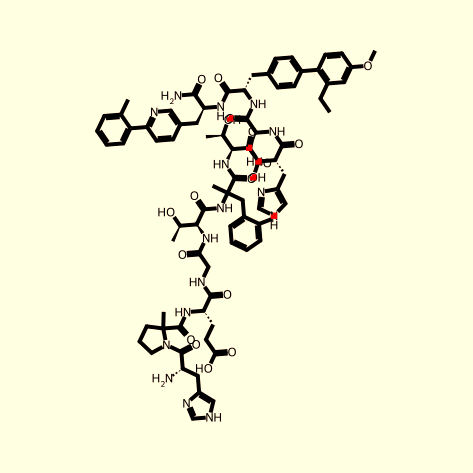 CCc1cc(OC)ccc1-c1ccc(C[C@H](NC(=O)[C@H](CC(=O)O)NC(=O)[C@H](Cc2c[nH]cn2)NC(=O)[C@@H](NC(=O)C(C)(Cc2ccccc2F)NC(=O)[C@@H](NC(=O)CNC(=O)[C@H](CCC(=O)O)NC(=O)C2(C)CCCN2C(=O)[C@@H](N)Cc2c[nH]cn2)[C@@H](C)O)[C@@H](C)O)C(=O)N[C@@H](Cc2ccc(-c3ccccc3C)nc2)C(N)=O)cc1